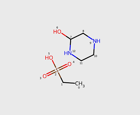 CCS(=O)(=O)O.OC1CNCCN1